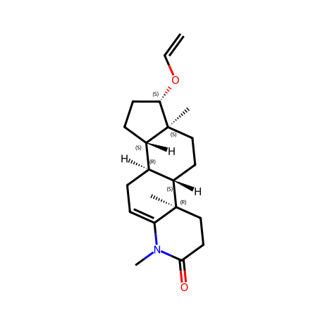 C=CO[C@H]1CC[C@H]2[C@@H]3CC=C4N(C)C(=O)CC[C@]4(C)[C@H]3CC[C@]12C